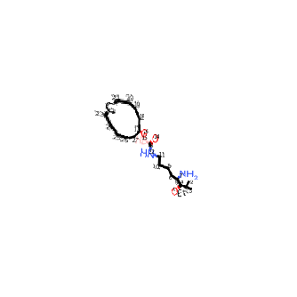 CCC(C)(C)C(=O)C(N)CCCCNC(=O)BOC1CCCCCCCCCC1